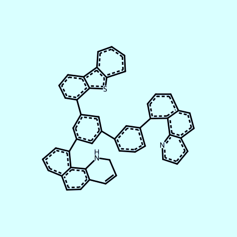 C1=Cc2ccc3cccc(-c4cc(-c5cccc(-c6cccc7ccc8cccnc8c67)c5)cc(-c5cccc6c5sc5ccccc56)c4)c3c2NC1